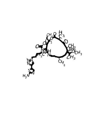 B[C@@]1(C(C)OC)CC[C@H](C)CCN[C@@H](C)[C@H]2N(CCCCn3cc(-c4cnc(N)s4)nn3)C(=O)O[C@]2(C)[C@@H](CC)OC(=O)[C@H](C)C(=O)[C@@H]1C